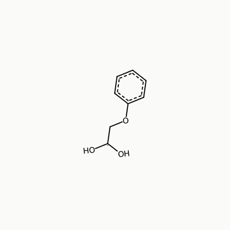 O[C](O)COc1ccccc1